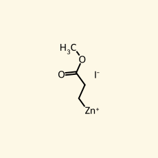 COC(=O)C[CH2][Zn+].[I-]